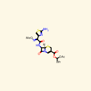 CCCC(OC(C)=O)OC(=O)C1=CN2C(=O)C(NC(=O)C(=NOC)c3csc(N)n3)[C@H]2SC1